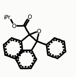 CC(C)OC(=O)C1(c2ccccc2)OC1(c1ccccc1)c1ccccc1